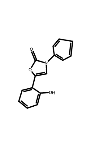 O=c1oc(-c2ccccc2O)cn1-c1ccccc1